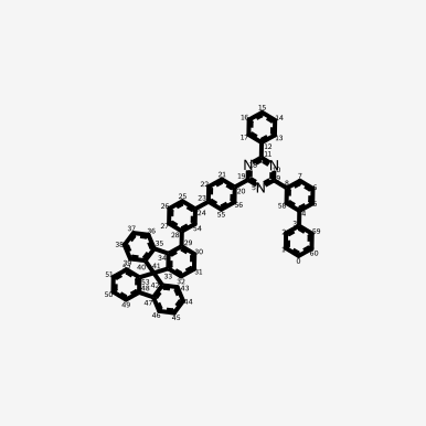 c1ccc(-c2cccc(-c3nc(-c4ccccc4)nc(-c4ccc(-c5cccc(-c6cccc7c6-c6ccccc6C76c7ccccc7-c7ccccc76)c5)cc4)n3)c2)cc1